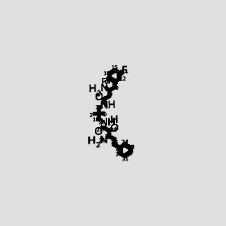 CC(C)(CNC(=O)CC(N)Cc1cc(F)ccc1F)CNC(=O)C(O)C(N)CCc1ccccc1